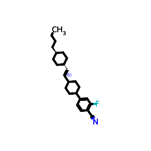 CCCC[C@H]1CC[C@H](/C=C/C2CCC(c3ccc(C#N)c(F)c3)CC2)CC1